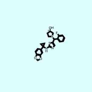 O[C@@H]1CCN(C(c2cnc(NC3(c4ccc5c(c4)OCO5)CC3)s2)c2ccccc2F)C1